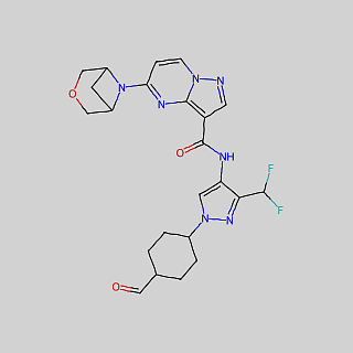 O=CC1CCC(n2cc(NC(=O)c3cnn4ccc(N5C6COCC5C6)nc34)c(C(F)F)n2)CC1